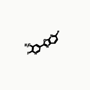 Cc1cc(-c2nc3ccc(F)nc3o2)cnc1F